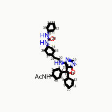 CC(=O)Nc1ccc(-c2c(-c3ccccc3)oc3ncnc(NCCc4ccc(NC(=O)Nc5ccccc5)cc4)c23)cc1